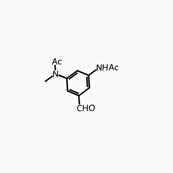 CC(=O)Nc1cc(C=O)cc(N(C)C(C)=O)c1